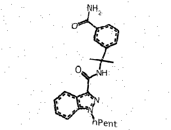 CCCCCn1nc(C(=O)NC(C)(C)c2cccc(C(N)=O)c2)c2ccccc21